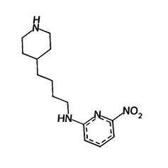 O=[N+]([O-])c1cccc(NCCCCC2CCNCC2)n1